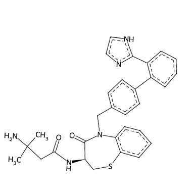 CC(C)(N)CC(=O)N[C@@H]1CSc2ccccc2N(Cc2ccc(-c3ccccc3-c3ncc[nH]3)cc2)C1=O